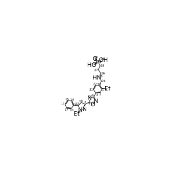 CCc1cc(-c2noc(C3=NN(CC)C(c4ccccc4)C3)n2)ccc1CNCCCP(=O)(O)O